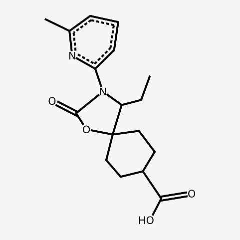 CCC1N(c2cccc(C)n2)C(=O)OC12CCC(C(=O)O)CC2